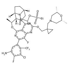 CC[C@@H](OS(=O)(=O)CC)C(=O)N1[C@@H]2CC[C@H]1[C@H]1[C@H](C)Oc3nc(-c4cc(N)c(F)c(Cl)c4C(F)(F)F)c(F)c4nc(OCC5(CN6C[C@@H](C)O[C@@H](C)C6)CC5)nc(c34)N1C2